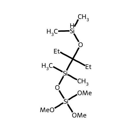 CCC(CC)(O[SiH](C)C)[Si](C)(C)O[Si](OC)(OC)OC